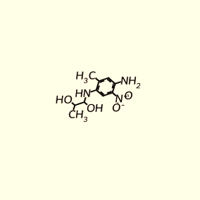 Cc1cc(N)c([N+](=O)[O-])cc1NC(O)C(C)O